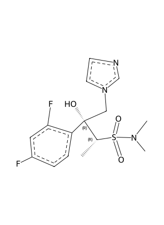 C[C@H]([C@](O)(Cn1ccnc1)c1ccc(F)cc1F)S(=O)(=O)N(C)C